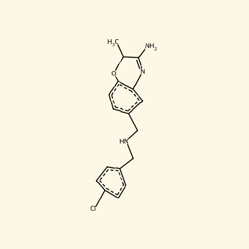 CC1Oc2ccc(CNCc3ccc(Cl)cc3)cc2N=C1N